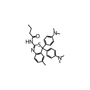 CCCC(=O)NC1=Nc2ccc(C)cc2C(c2ccc(N(C)C)cc2)(c2ccc(N(C)C)cc2)S1